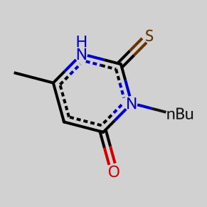 CCCCn1c(=O)cc(C)[nH]c1=S